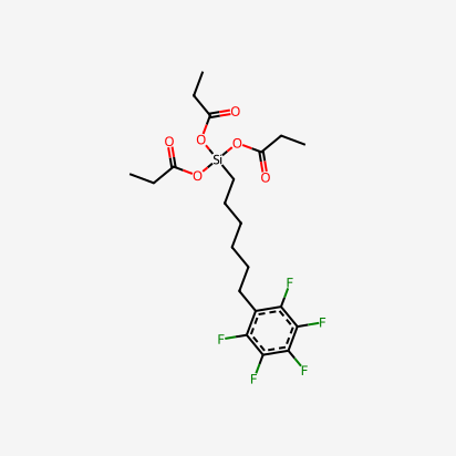 CCC(=O)O[Si](CCCCCCc1c(F)c(F)c(F)c(F)c1F)(OC(=O)CC)OC(=O)CC